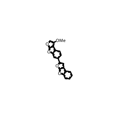 COc1coc2oc3cc(-c4cc5c(o4)oc4ccccc45)ccc3c12